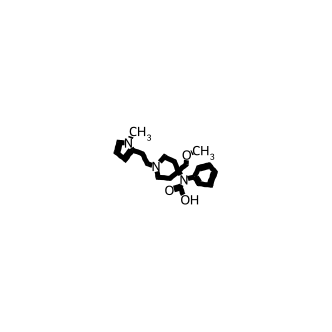 COCC1(N(C(=O)O)c2ccccc2)CCN(CCc2cccn2C)CC1